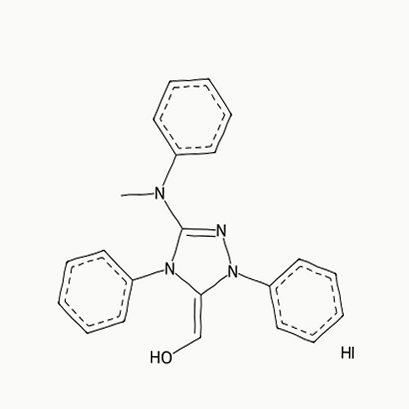 CN(C1=NN(c2ccccc2)C(=CO)N1c1ccccc1)c1ccccc1.I